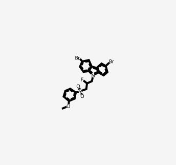 COc1cccc(S(=O)(=O)CC(F)Cn2c3ccc(Br)cc3c3cc(Br)ccc32)c1